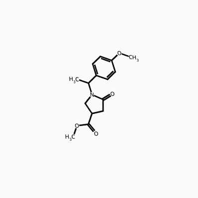 COC(=O)C1CC(=O)N(C(C)c2ccc(OC)cc2)C1